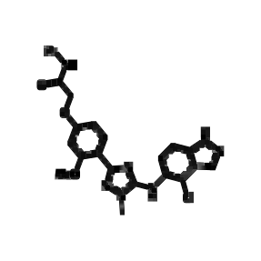 COc1cc(OCC(=O)NC(C)C)ccc1-c1nc(Nc2ccc3[nH]ncc3c2Cl)n(C)n1